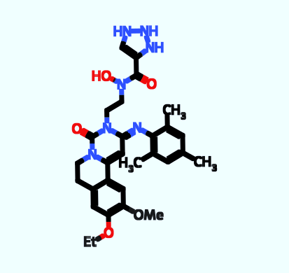 CCOc1cc2c(cc1OC)-c1c/c(=N\c3c(C)cc(C)cc3C)n(CCN(O)C(=O)C3=CNNN3)c(=O)n1CC2